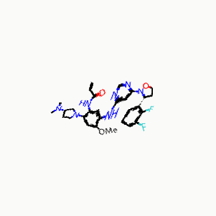 C=CC(=O)Nc1cc(Nc2cc(N3OCC[C@@H]3c3cccc(F)c3F)ncn2)c(OC)cc1N1CC[C@@H](N(C)C)C1